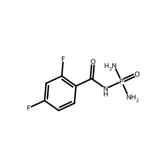 NP(N)(=O)NC(=O)c1ccc(F)cc1F